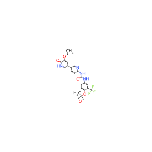 CCOc1cc(-c2ccc(NC(=O)Nc3ccc(OC4(C)COC4)c(C(F)(F)F)c3)nc2)c[nH]c1=O